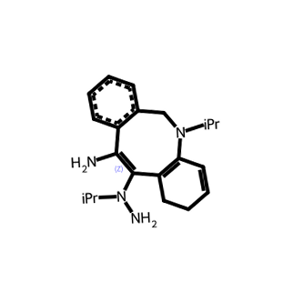 CC(C)N1Cc2ccccc2/C(N)=C(/N(N)C(C)C)C2=C1C=CCC2